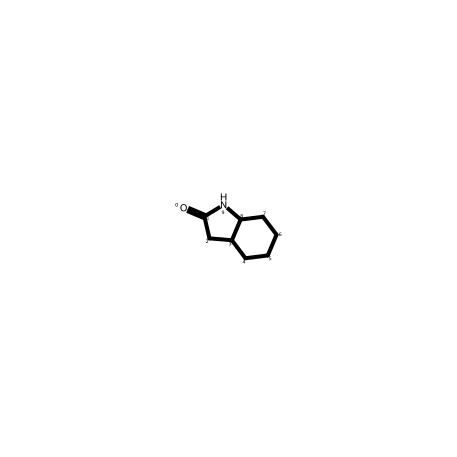 O=C1CC2CCCCC2N1